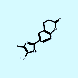 Cc1[nH]c(-c2ccc3c(c2)CCC(=O)N3)nc1F